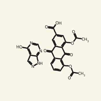 CC(=O)Oc1cccc2c1C(=O)c1c(OC(C)=O)cc(C(=O)O)cc1C2=O.Oc1ncnc2[nH]ncc12